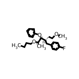 CCCCO[C@@H](C)[C@H](Oc1ccccc1)[C@H](CCOC)Cc1ccc(F)cc1